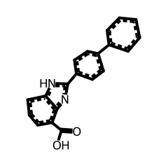 O=C(O)c1cccc2[nH]c(-c3ccc(-c4ccccc4)cc3)nc12